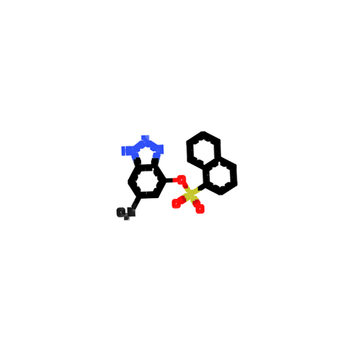 O=[N+]([O-])c1cc(OS(=O)(=O)c2cccc3ccccc23)c2nn[nH]c2c1